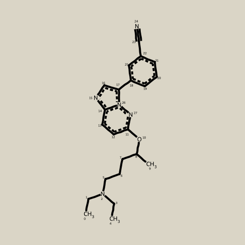 CCN(CC)CCCC(C)Oc1ccc2ncc(-c3cccc(C#N)c3)n2n1